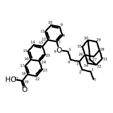 CCCC(CCOc1ccccc1-c1ccc2cc(C(=O)O)ccc2c1)C12CC3CC(CC(C3)C1)C2